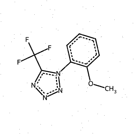 COc1ccccc1-n1nnnc1C(F)(F)F